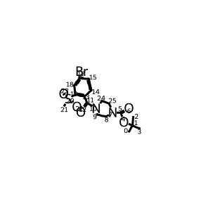 CC(C)(C)OC(=O)N1CCN(C(=O)c2ccc(Br)cc2S(C)(=O)=O)CC1